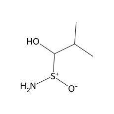 CC(C)C(O)[S+](N)[O-]